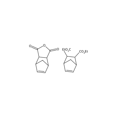 CCOC(=O)C1C2C=CC(C2)C1C(=O)OCC.O=C1OC(=O)C2C3C=CC(C3)C12